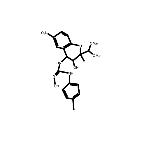 COC(OC)C1(C)Oc2ccc([N+](=O)[O-])cc2C(NC(=NC#N)Nc2ccc(C)cc2)C1O